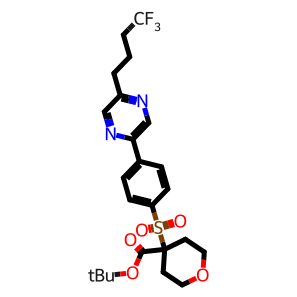 CC(C)(C)OC(=O)C1(S(=O)(=O)c2ccc(-c3cnc(CCCC(F)(F)F)cn3)cc2)CCOCC1